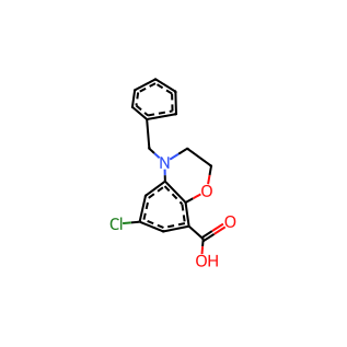 O=C(O)c1cc(Cl)cc2c1OCCN2Cc1ccccc1